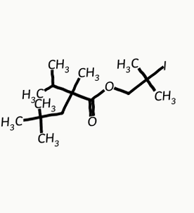 CC(C)C(C)(CC(C)(C)C)C(=O)OCC(C)(C)I